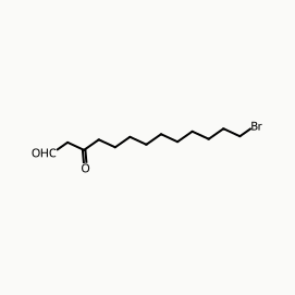 O=CCC(=O)CCCCCCCCCCBr